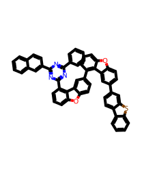 c1ccc(-c2nc(-c3ccc4ccccc4c3)nc(-c3cccc4oc5ccc(-c6cccc7oc8ccc(-c9ccc%10c(c9)sc9ccccc9%10)cc8c67)cc5c34)n2)cc1